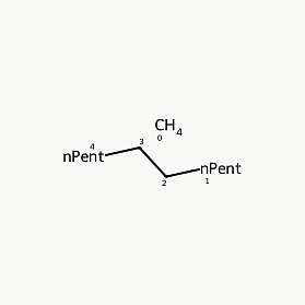 C.CCCCCCCCCCCC